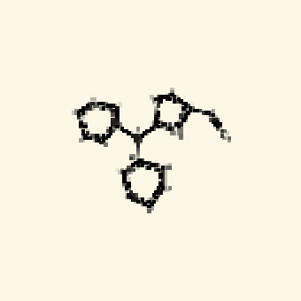 O=Cc1ccc(N(c2ccccc2)c2ccccc2)[se]1